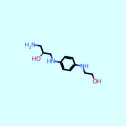 NC[C@H](O)CNc1ccc(NCCO)cc1